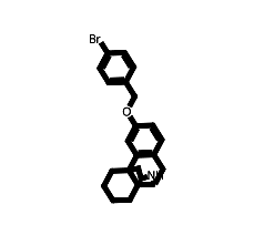 Brc1ccc(COc2ccc3c(c2)C24CCCCC2C(C3)NCC4)cc1